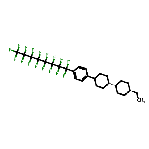 CC[C@H]1CC[C@H](C2CCC(c3ccc(C(F)(F)C(F)(F)C(F)(F)C(F)(F)C(F)(F)C(F)(F)C(F)(F)C(F)(F)F)cc3)CC2)CC1